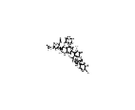 CCn1nc(C2CC2)cc1N1CCc2nc(-c3c(C)ccc4c3c(C)nn4S(=O)(=O)c3ccc(C)cc3)nc(N3CCOC[C@H]3C)c2C1